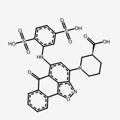 O=C1c2ccccc2-c2onc3c(N4CCC[C@H](C(=O)O)C4)cc(Nc4cc(S(=O)(=O)O)ccc4S(=O)(=O)O)c1c23